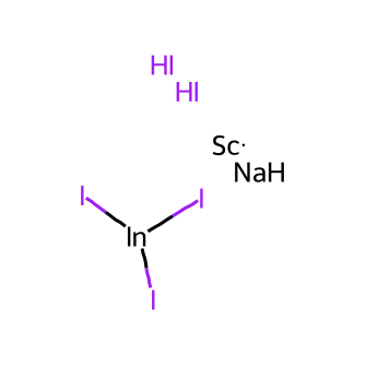 I.I.[I][In]([I])[I].[NaH].[Sc]